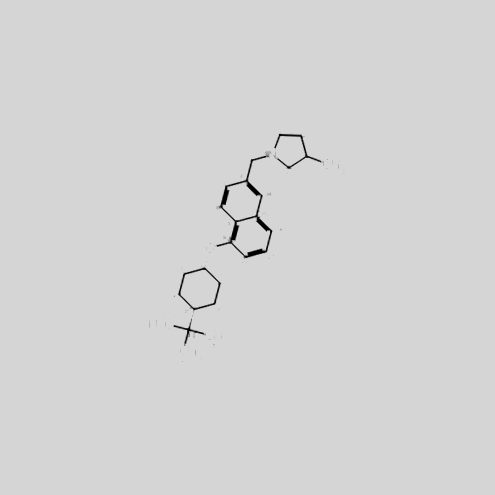 CC1CCN(Cc2ccc3c(O[C@H]4CC[C@H](C(C)(C)C)CC4)cccc3c2)C1